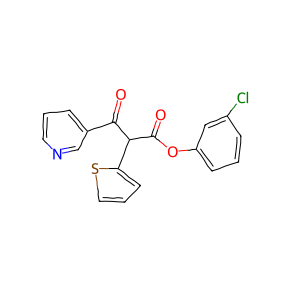 O=C(Oc1cccc(Cl)c1)C(C(=O)c1cccnc1)c1cccs1